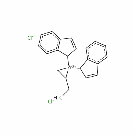 CC[CH]1[CH2][Zr+2]1([CH]1C=Cc2ccccc21)[CH]1C=Cc2ccccc21.[Cl-].[Cl-]